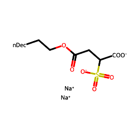 CCCCCCCCCCCCOC(=O)CC(C(=O)[O-])S(=O)(=O)[O-].[Na+].[Na+]